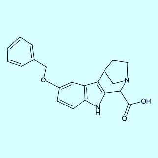 O=C(O)C1c2[nH]c3ccc(OCc4ccccc4)cc3c2C2CCN1C2